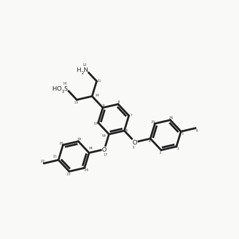 Cc1ccc(Oc2ccc(C(CN)CS(=O)(=O)O)cc2Oc2ccc(C)cc2)cc1